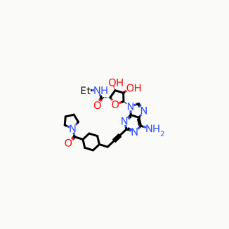 CCNC(=O)[C@H]1O[C@@H](n2cnc3c(N)nc(C#CCC4CCC(C(=O)N5CCCC5)CC4)nc32)C(O)[C@H]1O